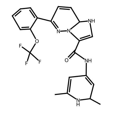 CC1=CC(NC(=O)C2=CNC3C=CC(c4ccccc4OC(F)(F)F)=NN23)=CC(C)N1